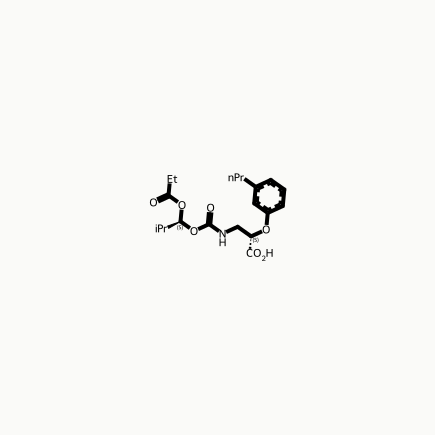 CCCc1cccc(O[C@@H](CNC(=O)O[C@H](OC(=O)CC)C(C)C)C(=O)O)c1